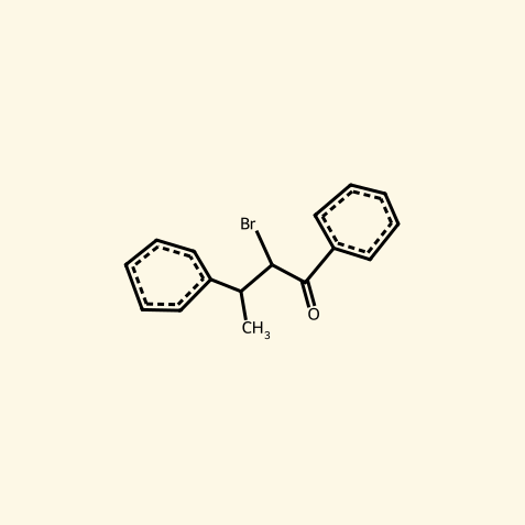 CC(c1ccccc1)C(Br)C(=O)c1ccccc1